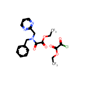 O=C(Cl)C(=O)OCC(F)(F)F.O=C(OCC(F)(F)F)C(=O)N(Cc1ccccc1)Cc1ncccn1